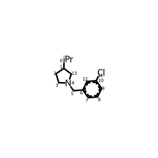 CC(C)C1CCN(Cc2cccc(Cl)c2)C1